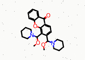 COC(c1ccc2c(=O)c3ccccc3oc2c1C(OC)N1CCCCC1)N1CCCCC1